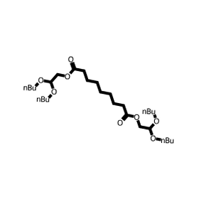 CCCCOC(COC(=O)CCCCCCCC(=O)OCC(OCCCC)OCCCC)OCCCC